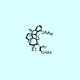 CC[C@@H]1CN2CC[C@@]3(C(=O)c4c(OC)cccc4N3C)C2C[C@@H]1C(=COC)C(C)=O